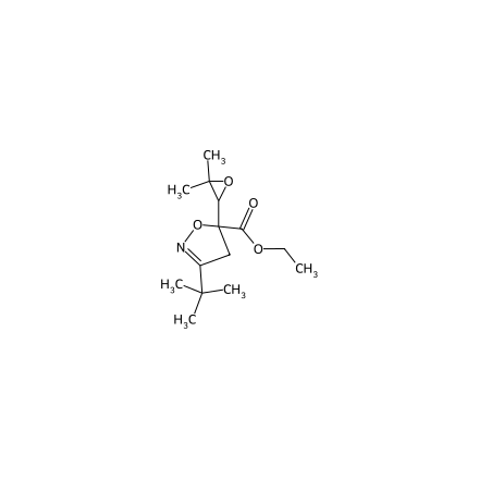 CCOC(=O)C1(C2OC2(C)C)CC(C(C)(C)C)=NO1